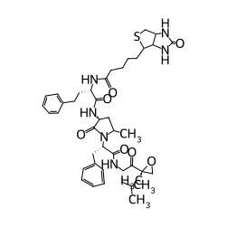 CC(C)C[C@H](NC(=O)[C@H](Cc1ccccc1)N1C(=O)[C@@H](NC(=O)[C@H](CCc2ccccc2)NC(=O)CCCCC2SCC3NC(=O)NC32)CC1C)C(=O)[C@@]1(C)CO1